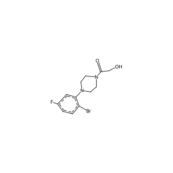 O=C(CO)N1CCN(c2cc(F)ccc2Br)CC1